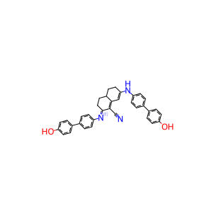 N#CC1=C2C=C(Nc3ccc(-c4ccc(O)cc4)cc3)CCC2CC/C1=N\c1ccc(-c2ccc(O)cc2)cc1